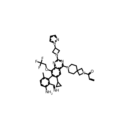 C=CC(=O)N1CC2(CCN(c3nc(N4CC(n5cccn5)C4)nc4c(OCC(F)(F)F)c(-c5c(C)ccc(N)c5C=N)c(C5CC5)cc34)CC2)C1